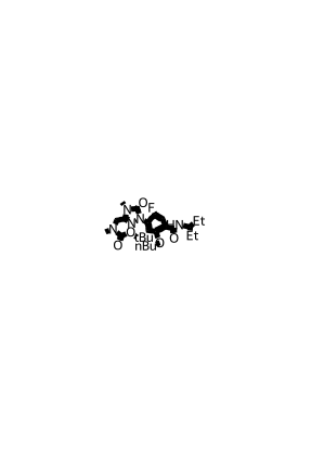 CCCCOc1cc(-n2nc(CN(C)C(=O)OC(C)(C)C)n(C)c2=O)c(F)cc1C(=O)NC(CC)CC